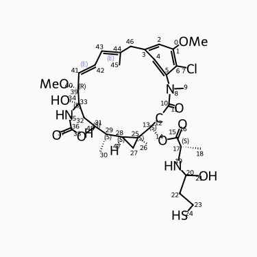 COc1cc2cc(c1Cl)N(C)C(=O)C[C@H](OC(=O)[C@H](C)NC(O)CCS)[C@@]1(C)C[C@H]1[C@H](C)[C@@H]1C[C@@](O)(NC(=O)O1)[C@H](OC)/C=C/C=C(\C)C2